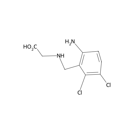 Nc1ccc(Cl)c(Cl)c1CNCC(=O)O